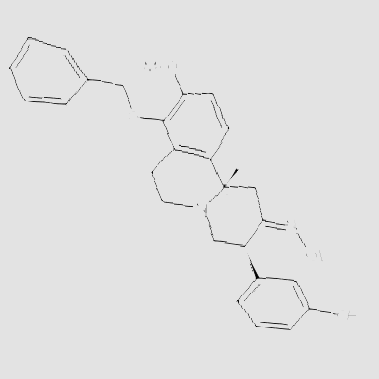 COc1ccc2c(c1OCc1ccccc1)CCN1C[C@H](c3cccc(C)c3)/C(=N\O)C[C@@H]21